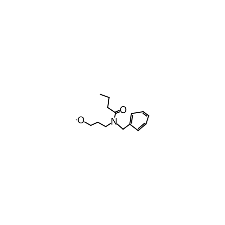 CCCC(=O)N(CCC[O])Cc1ccccc1